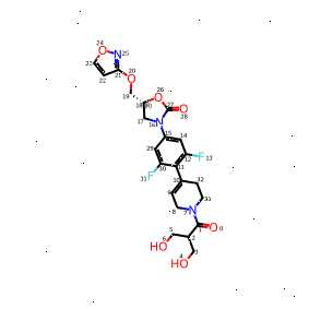 O=C(C(CO)CO)N1CC=C(c2c(F)cc(N3C[C@H](COc4ccon4)OC3=O)cc2F)CC1